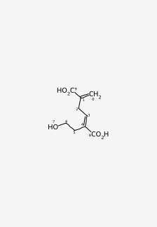 C=C(CC=C(CCO)C(=O)O)C(=O)O